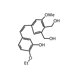 CCOc1ccc(/C=C\c2cc(CO)c(CO)c(OC)c2)cc1O